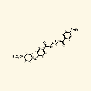 CCOc1ccc(C(=O)NCCNC(=O)c2ccc(O[C@H]3CC[C@H](C(=O)OCC)CC3)cc2)cc1